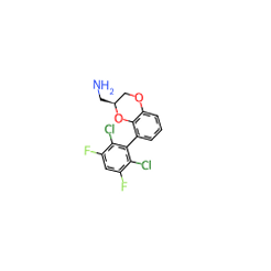 NC[C@H]1COc2cccc(-c3c(Cl)c(F)cc(F)c3Cl)c2O1